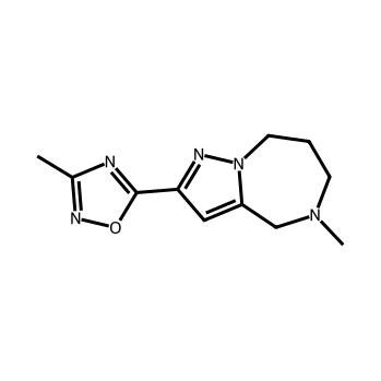 Cc1noc(-c2cc3n(n2)CCCN(C)C3)n1